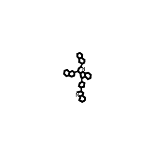 c1ccc2cc(-c3cc(-c4ccc5ccccc5c4)c4cc(-c5ccc(-c6cnc7ccccc7c6)cc5)c5ccccc5c4n3)ccc2c1